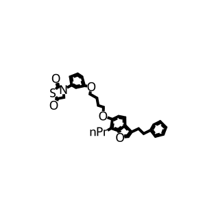 CCCc1c(OCCCCOc2cccc(N3CC(=O)SC3=O)c2)ccc2c(CCc3ccccc3)coc12